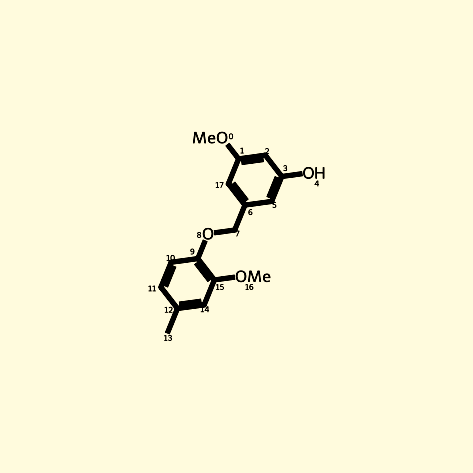 COc1cc(O)cc(COc2ccc(C)cc2OC)c1